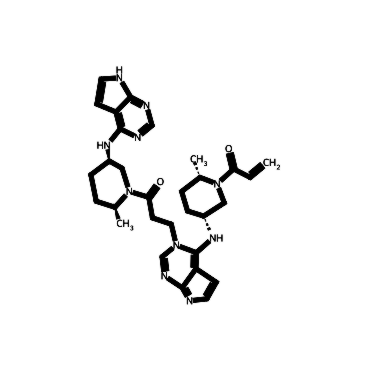 C=CC(=O)N1C[C@H](Nc2c3ccnc-3ncn2CCC(=O)N2C[C@H](Nc3ncnc4[nH]ccc34)CC[C@@H]2C)CC[C@@H]1C